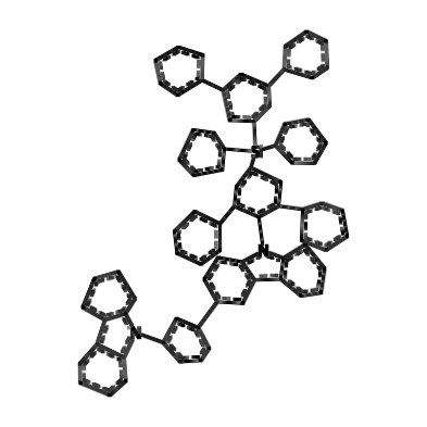 c1ccc(-c2cc(-c3ccccc3)cc([Si](c3ccccc3)(c3ccccc3)c3cc(-c4ccccc4)c(-n4c5ccccc5c5cc(-c6cccc(-n7c8ccccc8c8ccccc87)c6)ccc54)c(-c4ccccc4)c3)c2)cc1